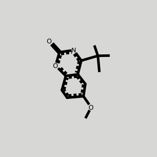 COc1ccc2oc(=O)nc(C(C)(C)C)c2c1